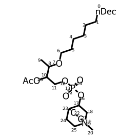 CCCCCCCCCCCCCCCCOC(C)C(COP(=O)([O-])OC1C[N+]2(C)CCC1CC2)OC(C)=O